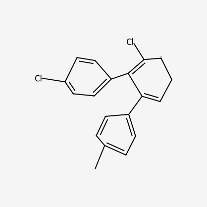 Cc1ccc(C2=CC[CH]C(Cl)=C2c2ccc(Cl)cc2)cc1